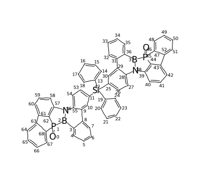 O=P12B3c4ccccc4-c4cc([Si](c5ccccc5)(c5ccccc5)c5ccc6c(c5)-c5ccccc5B5N6c6cccc7c6P5(=O)c5ccccc5-7)ccc4N3c3cccc(c31)-c1ccccc12